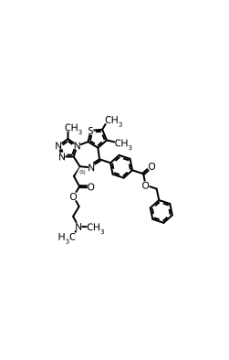 Cc1sc2c(c1C)C(c1ccc(C(=O)OCc3ccccc3)cc1)=N[C@@H](CC(=O)OCCN(C)C)c1nnc(C)n1-2